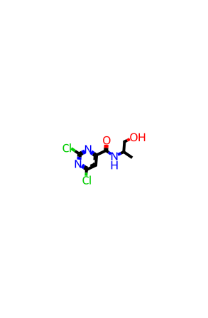 CC(CO)NC(=O)c1cc(Cl)nc(Cl)n1